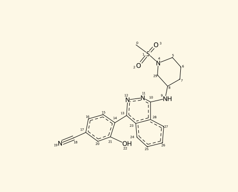 CS(=O)(=O)N1CCCC(Nc2nnc(-c3ccc(C#N)cc3O)c3ccccc23)C1